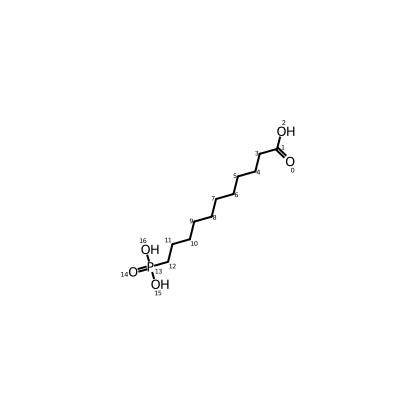 O=C(O)CCCCCCCCCCP(=O)(O)O